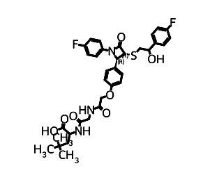 CC(C)(C)CC(NC(=O)CNC(=O)COc1ccc([C@@H]2[C@@H](SCC(O)c3ccc(F)cc3)C(=O)N2c2ccc(F)cc2)cc1)C(=O)O